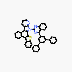 c1ccc(-c2cc(-c3ccccc3)cc(-c3nc(-n4c5ncccc5c5c6ccccc6c6c7ccccc7sc6c54)nc4ccccc34)c2)cc1